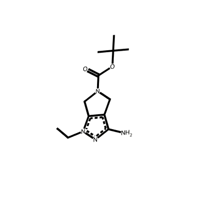 CCn1nc(N)c2c1CN(C(=O)OC(C)(C)C)C2